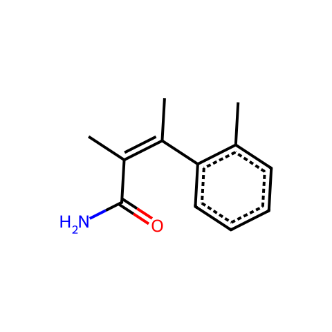 CC(C(N)=O)=C(C)c1ccccc1C